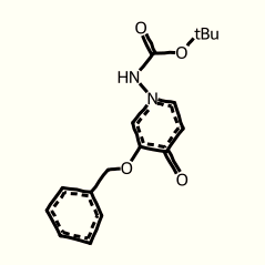 CC(C)(C)OC(=O)Nn1ccc(=O)c(OCc2ccccc2)c1